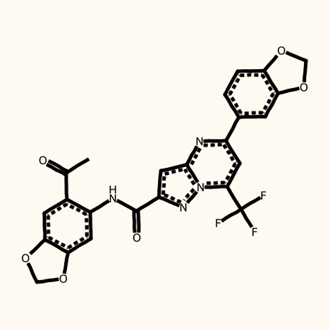 CC(=O)c1cc2c(cc1NC(=O)c1cc3nc(-c4ccc5c(c4)OCO5)cc(C(F)(F)F)n3n1)OCO2